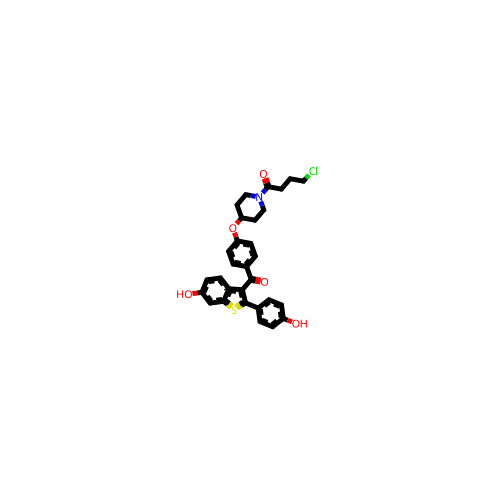 O=C(c1ccc(OC2CCN(C(=O)CCCCl)CC2)cc1)c1c(-c2ccc(O)cc2)sc2cc(O)ccc12